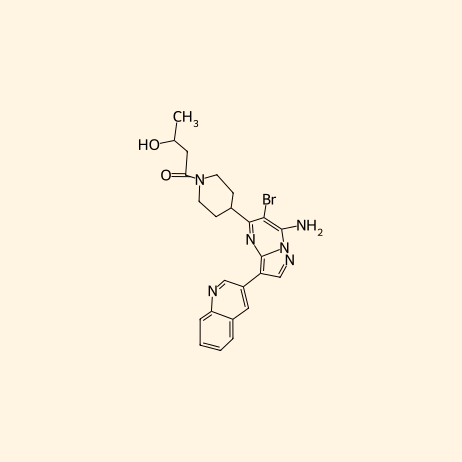 CC(O)CC(=O)N1CCC(c2nc3c(-c4cnc5ccccc5c4)cnn3c(N)c2Br)CC1